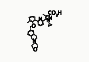 Cc1cccc(-c2cccc(-c3c(C)c(C(=O)O)nn3C3CC3)n2)c1OCc1ccc2c(c1)CCN(C1CCOCC1)C2